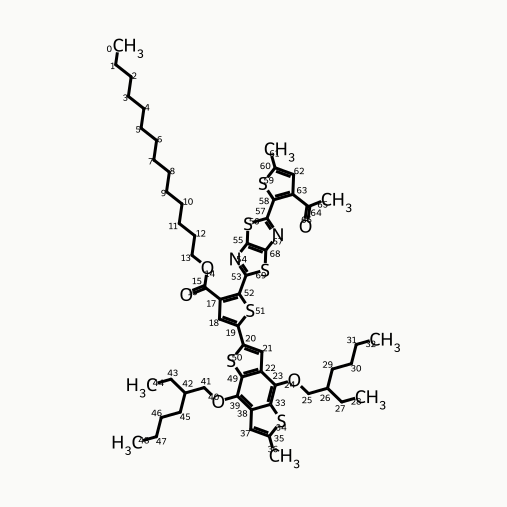 CCCCCCCCCCCCCCOC(=O)c1cc(-c2cc3c(OCC(CC)CCCC)c4sc(C)cc4c(OCC(CC)CCCC)c3s2)sc1-c1nc2sc(-c3sc(C)cc3C(C)=O)nc2s1